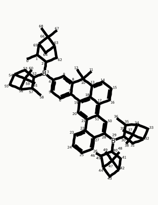 CC1C(B(c2ccc3c(c2)C(C)(C)c2cccc4c2c-3cc2c3ccccc3c(B(C3CC5CC(C3C)C5(C)C)C3CC5CC(C3C)C5(C)C)cc42)C2CC3CC(C2C)C3(C)C)CC2CC1C2(C)C